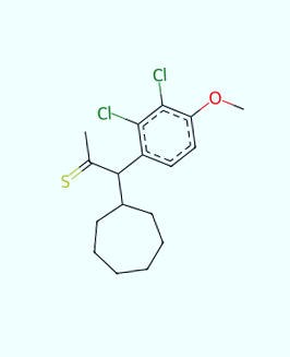 COc1ccc(C(C(C)=S)C2CCCCCC2)c(Cl)c1Cl